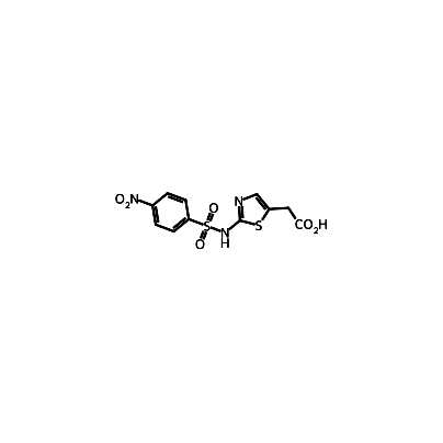 O=C(O)Cc1cnc(NS(=O)(=O)c2ccc([N+](=O)[O-])cc2)s1